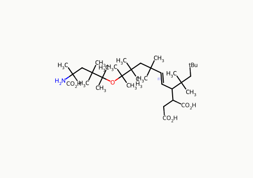 CC(C)(C)CC(C)(C)C(/C=C/C(C)(C)CC(C)(C)C(C)(C)OC(C)(C)C(C)(C)CC(C)(N)C(=O)O)C(CC(=O)O)C(=O)O